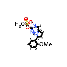 COc1ccccc1-c1ccc2cnc(OS(C)(=O)=O)nn12